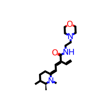 C=C/C(=C\C=C1/CCC(C)[C@H](C)N1C)C(=O)NCCN1CCOCC1